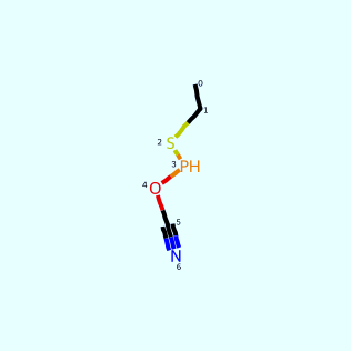 CCSPOC#N